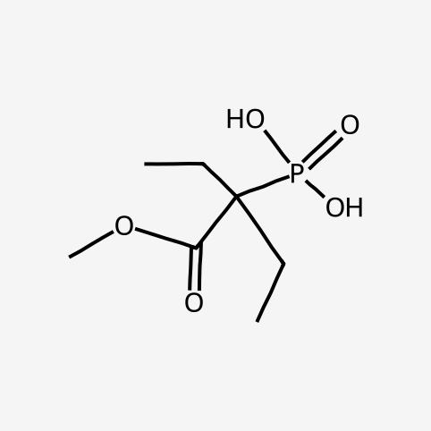 CCC(CC)(C(=O)OC)P(=O)(O)O